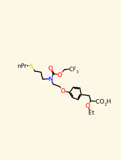 CCCSCCCN(CCOc1ccc(CC(OCC)C(=O)O)cc1)C(=O)OCC(F)(F)F